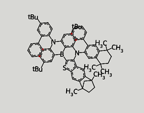 CC(C)(C)c1ccc2c(c1)B1c3sc4cc5c(cc4c3N(c3cc4c(cc3-c3ccccc3)C(C)(C)CCC4(C)C)c3cc(C(C)(C)C)cc(c31)N2c1ccc(C(C)(C)C)cc1-c1ccccc1)C1(C)CCC5(C)C1